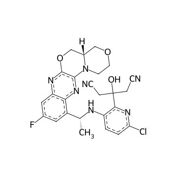 C[C@@H](Nc1ccc(Cl)nc1C(O)(CC#N)CC#N)c1cc(F)cc2nc3c(nc12)N1CCOC[C@H]1CO3